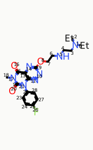 CCN(CC)CCNCCOc1nnc2c(n1)c(=O)n(C)c(=O)n2-c1ccc(F)cc1